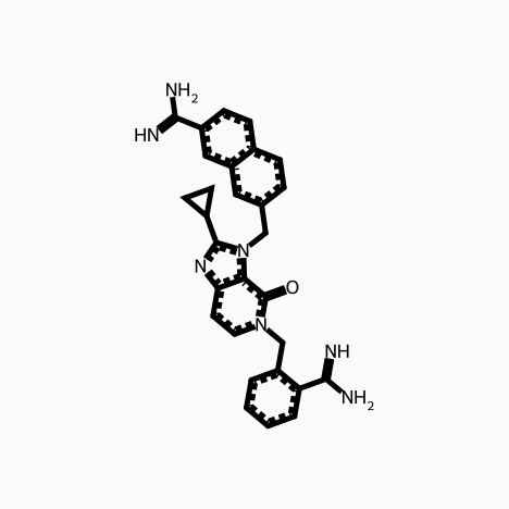 N=C(N)c1ccc2ccc(Cn3c(C4CC4)nc4ccn(Cc5ccccc5C(=N)N)c(=O)c43)cc2c1